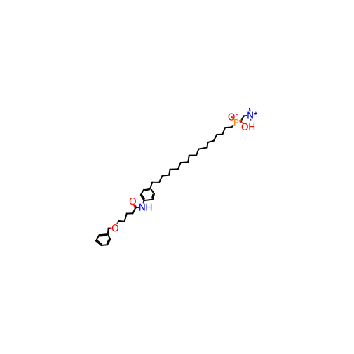 C[N+](C)(C)C/C(O)=[P+](\[O-])CCCCCCCCCCCCCCCCCCc1ccc(NC(=O)CCCCOCc2ccccc2)cc1